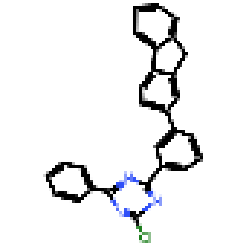 Clc1nc(-c2ccccc2)nc(-c2cccc(-c3ccc4c(c3)Cc3ccccc3-4)c2)n1